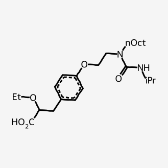 CCCCCCCCN(CCOc1ccc(CC(OCC)C(=O)O)cc1)C(=O)NC(C)C